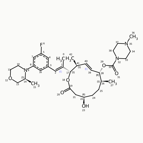 C/C(=C\c1cc(F)cc(N2CCOC[C@@H]2C)c1)[C@H]1OC(=O)C[C@H](O)CC[C@H](C)[C@@H](OC(=O)N2CCN(C)CC2)/C=C/[C@@H]1C